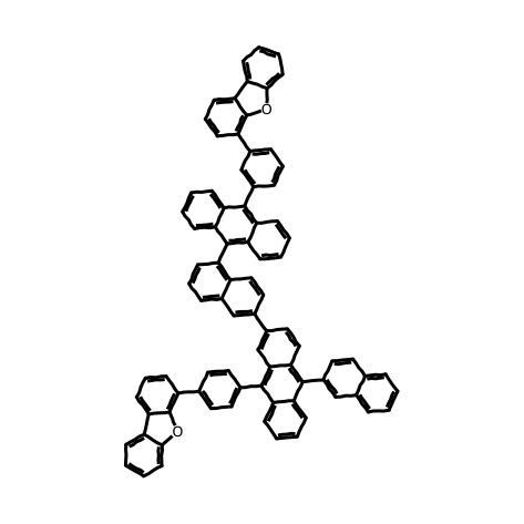 c1cc(-c2c3ccccc3c(-c3cccc4cc(-c5ccc6c(-c7ccc8ccccc8c7)c7ccccc7c(-c7ccc(-c8cccc9c8oc8ccccc89)cc7)c6c5)ccc34)c3ccccc23)cc(-c2cccc3c2oc2ccccc23)c1